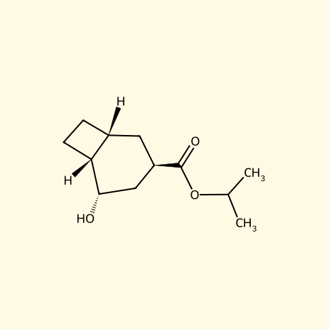 CC(C)OC(=O)[C@@H]1C[C@H]2CC[C@H]2[C@@H](O)C1